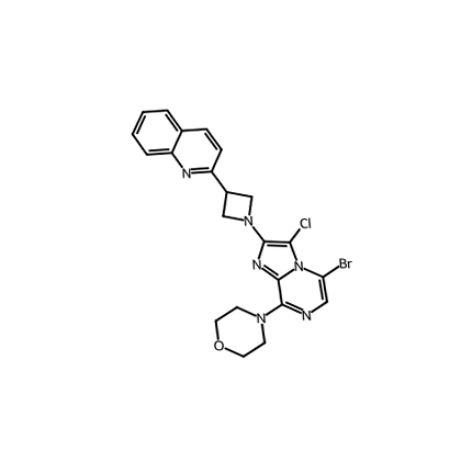 Clc1c(N2CC(c3ccc4ccccc4n3)C2)nc2c(N3CCOCC3)ncc(Br)n12